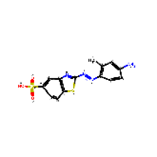 Cc1cc(N)ccc1/N=N/c1nc2cc(S(=O)(=O)O)ccc2s1